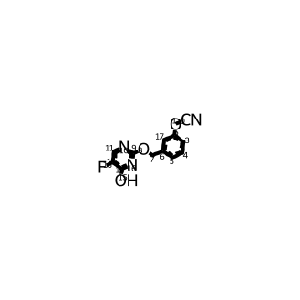 N#COc1cccc(COc2ncc(F)c(O)n2)c1